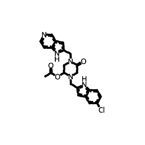 CC(=O)OC1CN(Cc2cc3cnccc3[nH]2)C(=O)CN1Cc1cc2cc(Cl)ccc2[nH]1